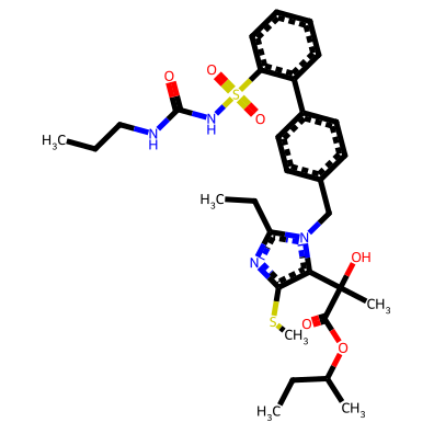 CCCNC(=O)NS(=O)(=O)c1ccccc1-c1ccc(Cn2c(CC)nc(SC)c2C(C)(O)C(=O)OC(C)CC)cc1